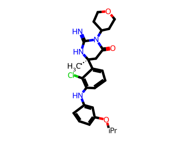 CC(C)Oc1cccc(Nc2cccc([C@]3(C)CC(=O)N(C4CCOCC4)C(=N)N3)c2Cl)c1